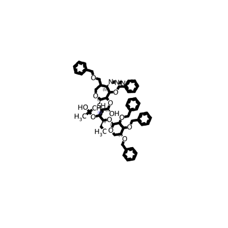 CC[C@H](O[C@@H]1OC[C@@H](OCc2ccccc2)C(OCc2ccccc2)C1OCc1ccccc1)/C(=C\[C@@H](O)OC1C(OCc2ccccc2)[C@@H](N=[N+]=[N-])C(COCc2ccccc2)CO[C@H]1S)OC(C)(C)O